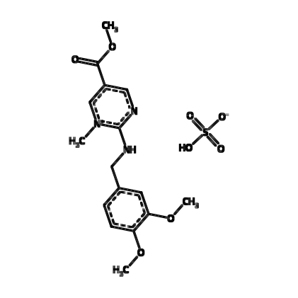 COC(=O)c1cnc(NCc2ccc(OC)c(OC)c2)[n+](C)c1.O=S(=O)([O-])O